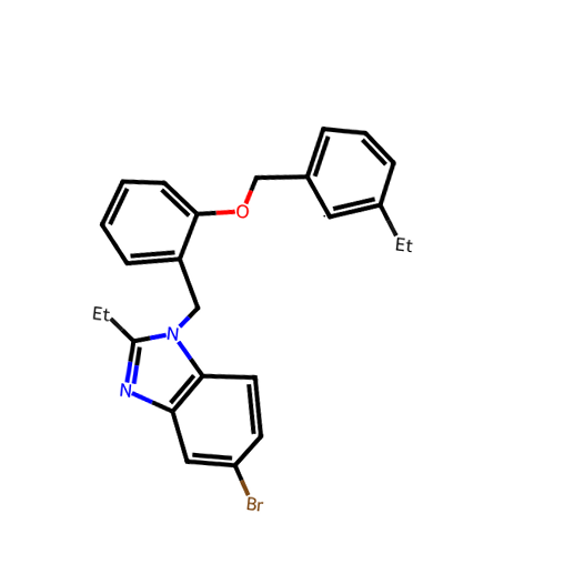 CCc1[c]c(COc2ccccc2Cn2c(CC)nc3cc(Br)ccc32)ccc1